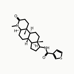 CN1C(=O)CC[C@]2(C)[C@H]3CC[C@]4(C)C(NC(=O)c5ccsc5)CC[C@H]4[C@@H]3CC[C@@H]12